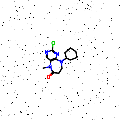 CN1C(=O)CCN(C2CCCCC2)c2nc(Cl)ncc21